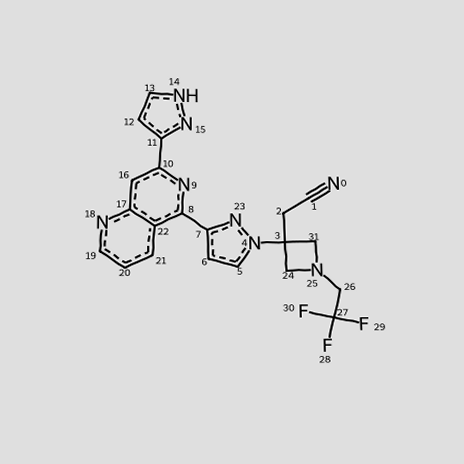 N#CCC1(n2ccc(-c3nc(-c4cc[nH]n4)cc4ncccc34)n2)CN(CC(F)(F)F)C1